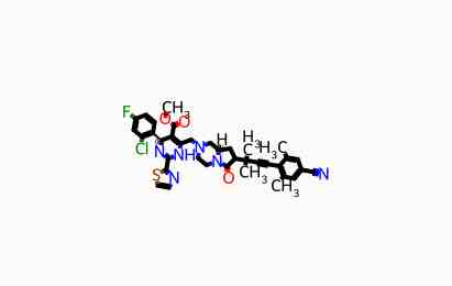 COC(=O)C1=C(CN2CCN3C(=O)C(C(C)(C)C#Cc4c(C)cc(C#N)cc4C)C[C@@H]3C2)NC(c2nccs2)=N[C@H]1c1ccc(F)cc1Cl